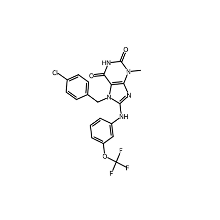 Cn1c(=O)[nH]c(=O)c2c1nc(Nc1cccc(OC(F)(F)F)c1)n2Cc1ccc(Cl)cc1